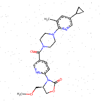 COC[C@@H]1COC(=O)N1c1ccc(C(=O)N2CCN(c3ncc(C4CC4)cc3C)CC2)cn1